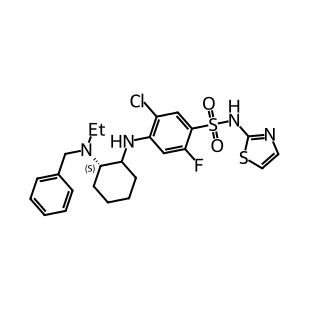 CCN(Cc1ccccc1)[C@H]1CCCCC1Nc1cc(F)c(S(=O)(=O)Nc2nccs2)cc1Cl